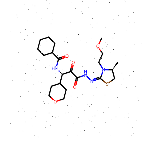 COCCN1C(=NNC(=O)C(=O)[C@@H](NC(=O)C2CCCCC2)C2CCOCC2)SC[C@@H]1C